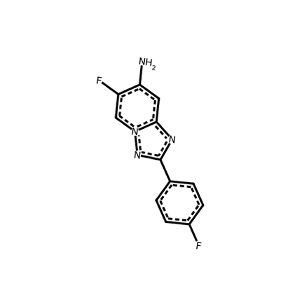 Nc1cc2nc(-c3ccc(F)cc3)nn2cc1F